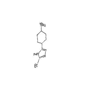 CCc1ncc(C2CCC(C(C)(C)C)CC2)[nH]1